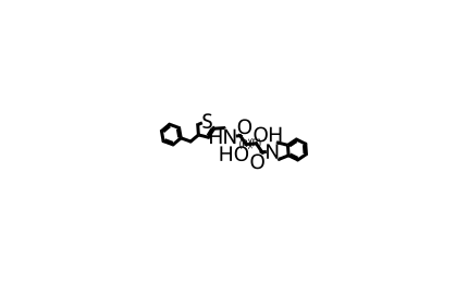 O=C(NCC1=CC(Cc2ccccc2)CS1)[C@H](O)[C@@H](O)C(=O)N1Cc2ccccc2C1